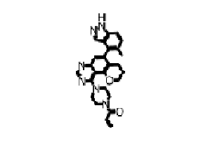 C=CC(=O)N1CCN(c2ncnc3cc(-c4c(C)ccc5[nH]ncc45)c4c(c23)OCCC4)CC1